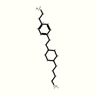 CCCCCC1CCC(CCc2ccc(CCC)cc2)CC1